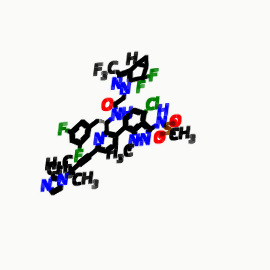 Cc1nccn1C(C)(C)C#Cc1ccc(-c2ccc(Cl)c3c(NS(C)(=O)=O)nn(C)c23)c([C@H](Cc2cc(F)cc(F)c2)NC(=O)Cn2nc(C(F)(F)F)c3c2C(F)(F)C2C[C@H]32)n1